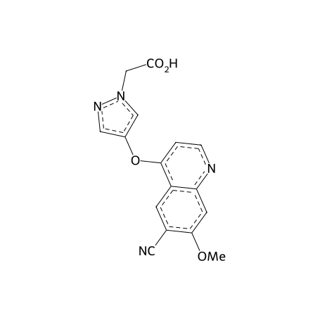 COc1cc2nccc(Oc3cnn(CC(=O)O)c3)c2cc1C#N